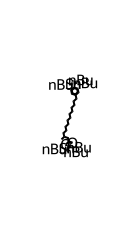 CCC[CH2][Sn]([CH2]CCC)([CH2]CCC)[O]C(=O)CC(C)CCCCCCCCCCCCc1cc[c]([Sn]([CH2]CCC)([CH2]CCC)[CH2]CCC)cc1